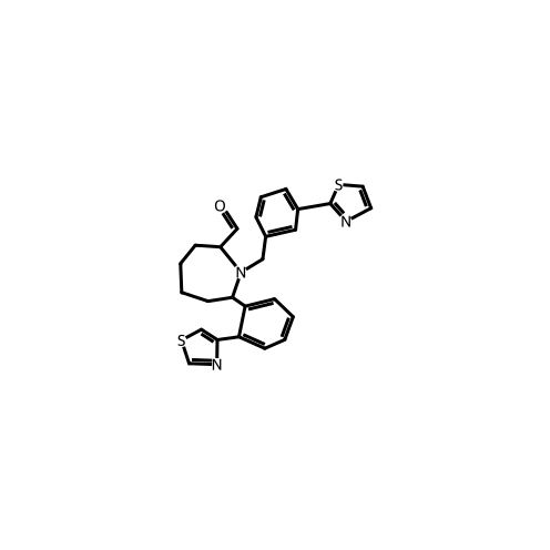 O=CC1CCCCC(c2ccccc2-c2cscn2)N1Cc1cccc(-c2nccs2)c1